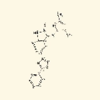 Cc1cc(C)c(/C=C2\C(=O)Nc3ccc(-c4csc(-c5ccccc5)n4)cc32)[nH]1